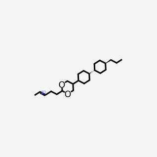 C/C=C/CCC1OCC(C2CCC([C@H]3CC[C@H](CCC)CC3)CC2)CO1